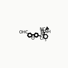 N#CC1(NC(=O)C2(NC(c3ccc4c(c3)oc3ccc(C=O)cc34)C(F)(F)F)CCCCC2)CC1